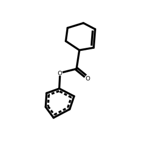 O=C(Oc1ccccc1)C1C=CCCC1